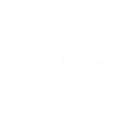 C=CC1CCC(C2CCC(c3ccc(-c4ccc(OCC)c(F)c4)cc3)CC2)CO1